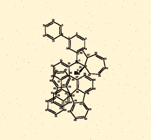 CCC(C)[C@]1(N(c2cccc(-c3ccccc3)c2)c2cccc(-c3ccccc3)c2-c2cccc3c2[Si]2(c4ccccc4-c4ccccc42)c2ccccc2-3)CC=CC=CC1C